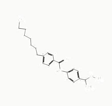 CCCCCCCCc1ccc(C(=O)Oc2ccc(C(C)OC)cc2)cc1